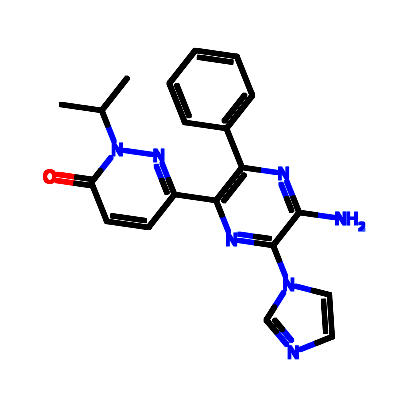 CC(C)n1nc(-c2nc(-n3ccnc3)c(N)nc2-c2ccccc2)ccc1=O